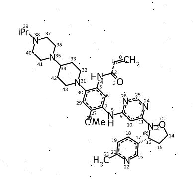 C=CC(=O)Nc1cc(Nc2cc(N3OCC[C@@H]3c3ccc(C)nc3)ncn2)c(OC)cc1N1CCC(N2CCN(C(C)C)CC2)CC1